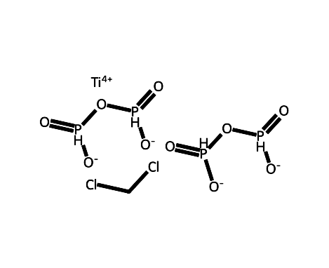 ClCCl.O=[PH]([O-])O[PH](=O)[O-].O=[PH]([O-])O[PH](=O)[O-].[Ti+4]